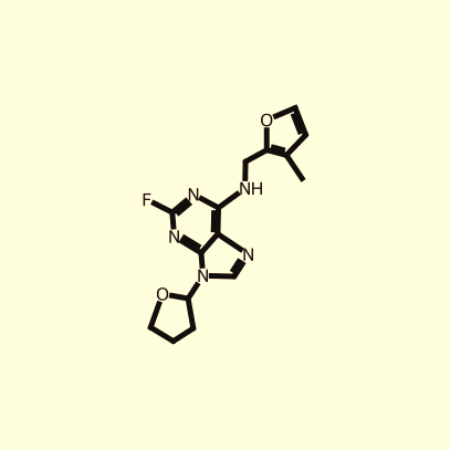 Cc1ccoc1CNc1nc(F)nc2c1ncn2C1CCCO1